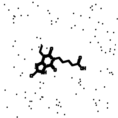 CCn1c(=O)n(CCCCC(=O)O)c(=O)c2[nH]c(Cl)nc21